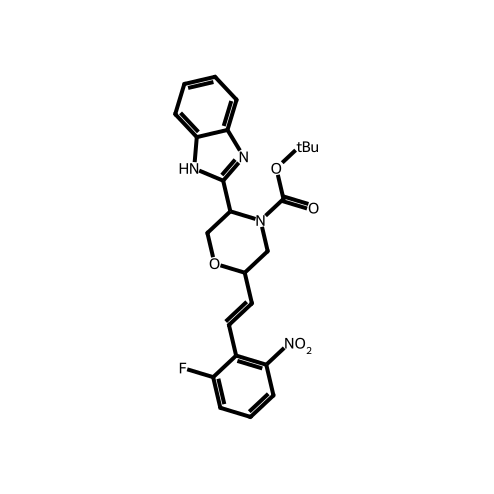 CC(C)(C)OC(=O)N1CC(C=Cc2c(F)cccc2[N+](=O)[O-])OCC1c1nc2ccccc2[nH]1